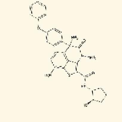 Nc1ccc2c3c(c(C(=O)N[C@@H]4CCC[C@H]4O)sc13)C(N)C(=O)C2(N)c1ccc(Oc2ccccc2)cc1